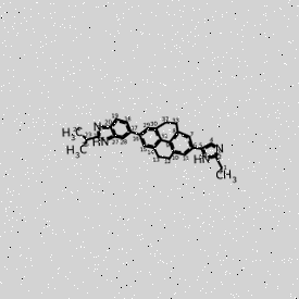 CCc1ncc(-c2cc3c4c(c2)CCc2cc(-c5ccc6nc(C(C)C)[nH]c6c5)cc(c2-4)CC3)[nH]1